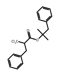 CC(C)(Cc1ccccc1)OC(=O)C(Cc1ccccc1)C(Cl)(Cl)Cl